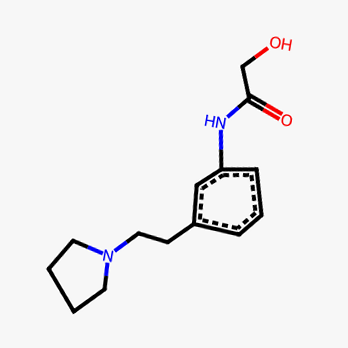 O=C(CO)Nc1cccc(CCN2CCCC2)c1